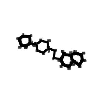 c1ccc(N2CCN(CCc3ccc4ccccc4n3)CC2)cc1